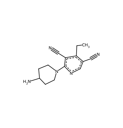 CCc1c(C#N)cnc(N2CCC(N)CC2)c1C#N